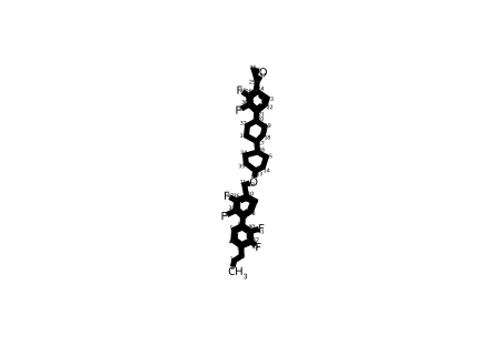 CCCc1ccc(-c2ccc(COC3CCC(C4CCC(c5ccc(C6CO6)c(F)c5F)CC4)CC3)c(F)c2F)c(F)c1F